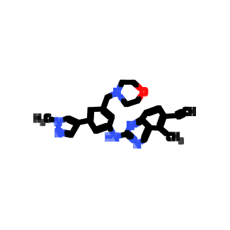 C#Cc1ccc2nc(Nc3cc(CN4CCOCC4)cc(-c4cnn(C)c4)c3)ncc2c1C